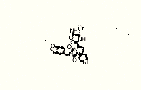 CC(C)C[C@H](NC(=O)C1C=CC2(CCNCC2)n2c(=O)n(Cc3ccc4c(c3)OCO4)c(=O)n21)C(N)=O